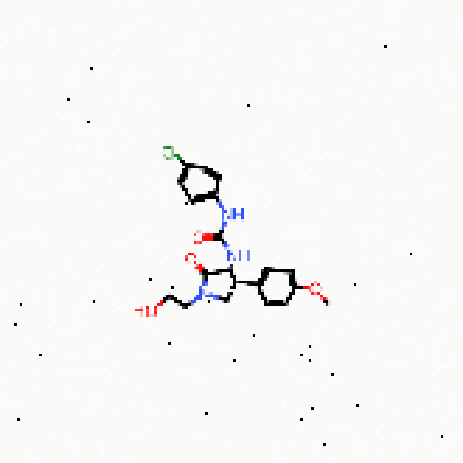 COc1ccc([C@H]2CN(CCO)C(=O)[C@@H]2NC(=O)Nc2ccc(Cl)cc2)cc1